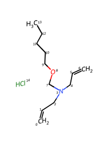 C=CCN(CC=C)COCCCCC.Cl